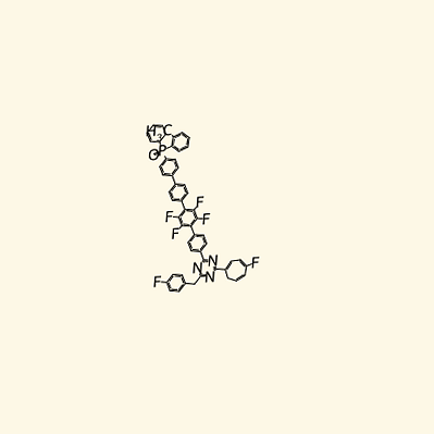 Cc1ccccc1P(=O)(c1ccc(-c2ccc(-c3c(F)c(F)c(-c4ccc(-c5nc(Cc6ccc(F)cc6)nc(C6=CC=C(F)C=CC6)n5)cc4)c(F)c3F)cc2)cc1)C1C=CC=CC1